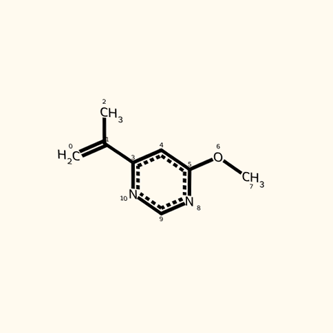 C=C(C)c1cc(OC)ncn1